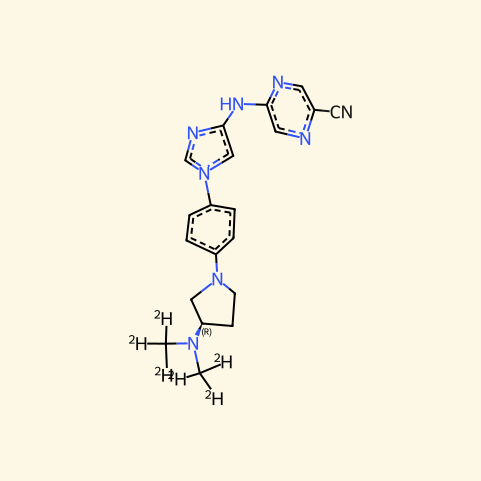 [2H]C([2H])([2H])N([C@@H]1CCN(c2ccc(-n3cnc(Nc4cnc(C#N)cn4)c3)cc2)C1)C([2H])([2H])[2H]